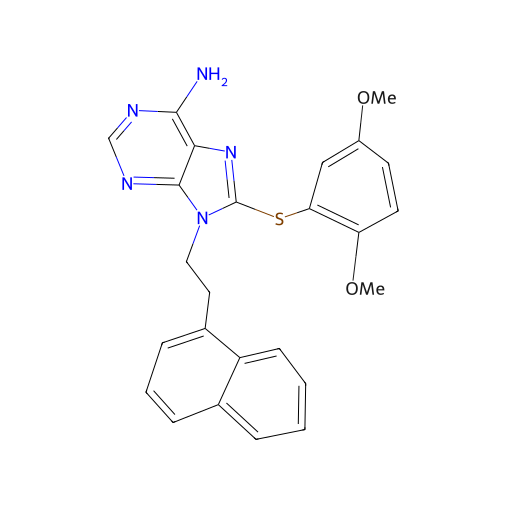 COc1ccc(OC)c(Sc2nc3c(N)ncnc3n2CCc2cccc3ccccc23)c1